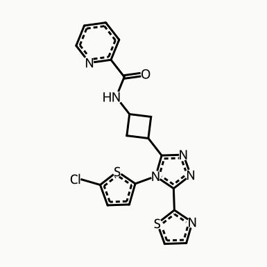 O=C(NC1CC(c2nnc(-c3nccs3)n2-c2ccc(Cl)s2)C1)c1ccccn1